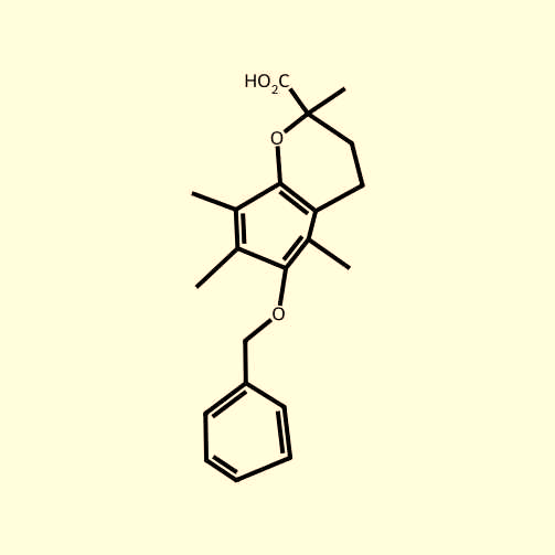 Cc1c(C)c2c(c(C)c1OCc1ccccc1)CCC(C)(C(=O)O)O2